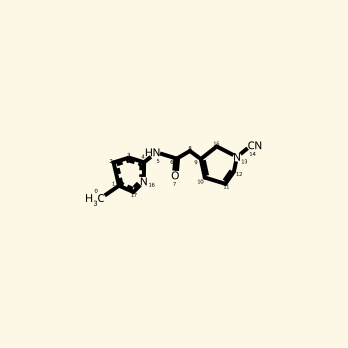 Cc1ccc(NC(=O)CC2=CC=CN(C#N)C2)nc1